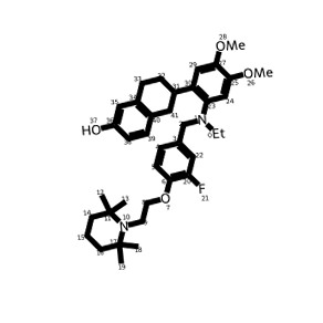 CCN(Cc1ccc(OCCN2C(C)(C)CCCC2(C)C)c(F)c1)c1cc(OC)c(OC)cc1C1CCc2cc(O)ccc2C1